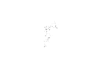 CCN1CC2CC1CN2c1cc(C)cc(Nc2ncn(-c3cc(F)cc(F)c3)n2)c1